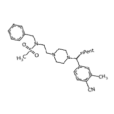 CCCCCC(c1ccc(C#N)c(C)c1)N1CCN(CCN(Cc2ccccc2)S(C)(=O)=O)CC1